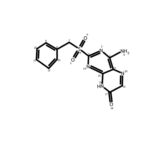 Nc1nc(S(=O)(=O)Cc2ccccc2)nc2[nH]c(=O)cnc12